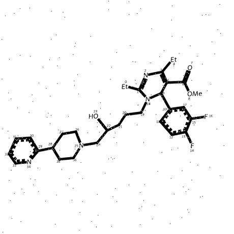 CCC1=NC(CC)=C(C(=O)OC)C(c2ccc(F)c(F)c2)N1CCCC(O)CN1CCC(c2ccccn2)CC1